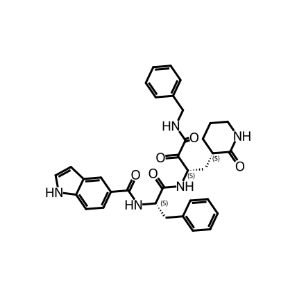 O=C(NCc1ccccc1)C(=O)[C@H](C[C@@H]1CCCNC1=O)NC(=O)[C@H](Cc1ccccc1)NC(=O)c1ccc2[nH]ccc2c1